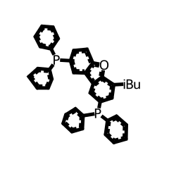 CCC(C)c1cc(P(c2ccccc2)c2ccccc2)cc2c1oc1ccc(P(c3ccccc3)c3ccccc3)cc12